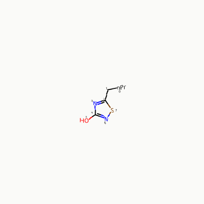 CCCCc1nc(O)ns1